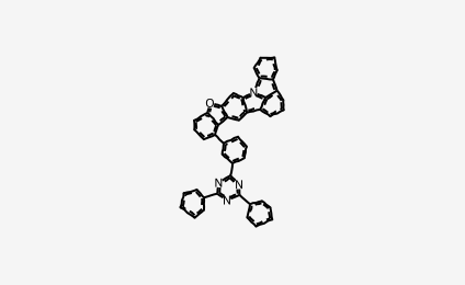 c1ccc(-c2nc(-c3ccccc3)nc(-c3cccc(-c4cccc5oc6cc7c(cc6c45)c4cccc5c6ccccc6n7c54)c3)n2)cc1